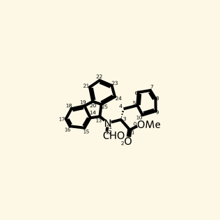 COC(=O)[C@@H](Cc1ccccc1)N(C=O)C1c2ccccc2-c2ccccc21